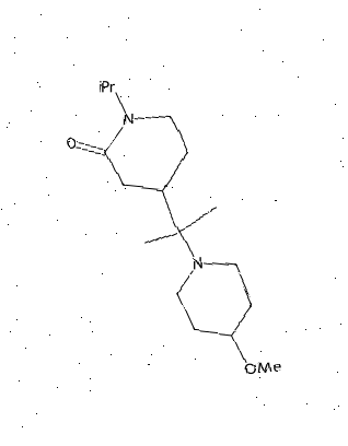 COC1CCN(C(C)(C)C2CCN(C(C)C)C(=O)C2)CC1